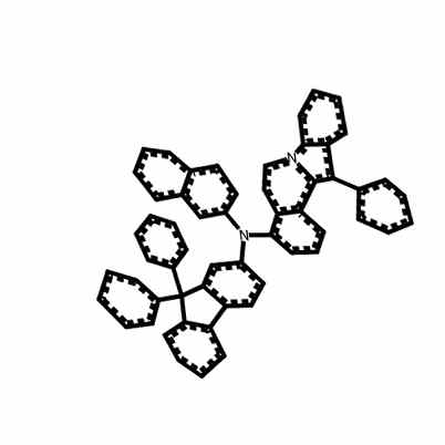 c1ccc(-c2c3ccccc3n3ccc4c(N(c5ccc6c(c5)C(c5ccccc5)(c5ccccc5)c5ccccc5-6)c5ccc6ccccc6c5)cccc4c23)cc1